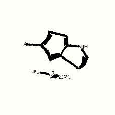 CC(C)(C)OC=O.Ic1ccc2[nH]ccc2c1